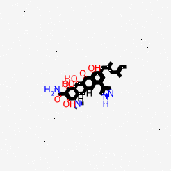 C/C=C(\C)CC(C)Cc1cc(-c2cn[nH]c2)c2c(c1O)C(=O)C1=C(O)[C@]3(O)C(=O)C(C(N)=O)=C(O)[C@@H](N(C)C)[C@@H]3C[C@@H]1C2